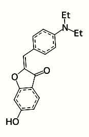 CCN(CC)c1ccc(C=C2Oc3cc(O)ccc3C2=O)cc1